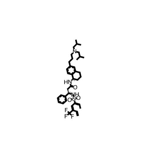 C=CC(=CC(=CC)S(=O)(=O)N[C@H](CC(=O)N[C@@H]1CCCc2cc(CCCN(CC(C)C)CC(C)C)ccc21)c1ccccc1)C(F)(F)F